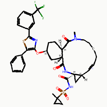 CN1CCCC/C=C\[C@@H]2C[C@@]2(C(=O)NS(=O)(=O)C2(C)CC2)NC(=O)[C@@H]2C[C@@H](Oc3nc(-c4cccc(C(F)(F)F)c4)sc3-c3ccccc3)CC[C@H]2C1=O